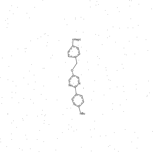 CCCCCCCc1ccc(COc2cnc(-c3ccc(CCCC)cc3)nc2)cc1